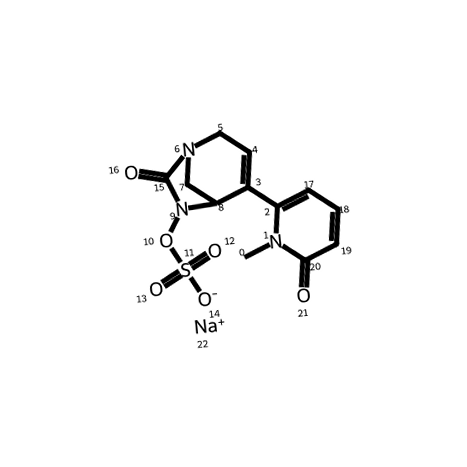 Cn1c(C2=CCN3CC2N(OS(=O)(=O)[O-])C3=O)cccc1=O.[Na+]